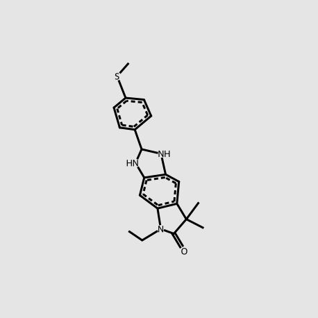 CCN1C(=O)C(C)(C)c2cc3c(cc21)NC(c1ccc(SC)cc1)N3